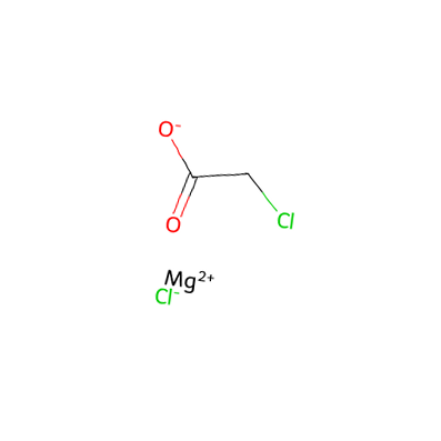 O=C([O-])CCl.[Cl-].[Mg+2]